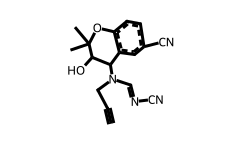 C#CCN(C=NC#N)C1c2cc(C#N)ccc2OC(C)(C)C1O